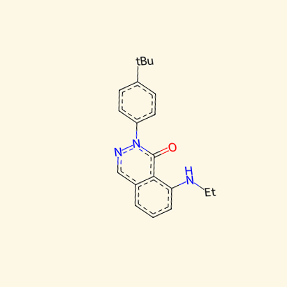 CCNc1cccc2cnn(-c3ccc(C(C)(C)C)cc3)c(=O)c12